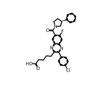 O=C(O)CCCCc1nc2cc(C(=O)N3CC[C@@H](c4ccccc4)C3)c(F)cc2nc1-c1ccc(Cl)cc1